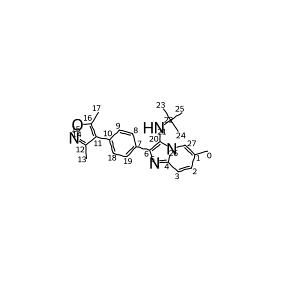 Cc1ccc2nc(-c3ccc(-c4c(C)noc4C)cc3)c(NC(C)(C)C)n2c1